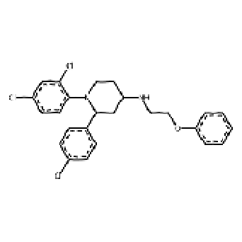 Clc1ccc(C2CC(NCCOc3ccccc3)CCN2c2ccc(Cl)cc2Cl)cc1